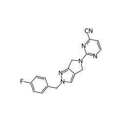 N#Cc1ccnc(N2Cc3cn(Cc4ccc(F)cc4)nc3C2)n1